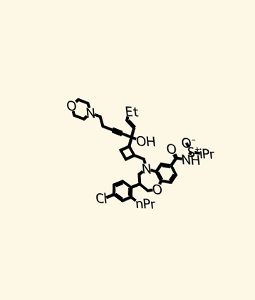 CC/C=C/C(O)(C#CCCN1CCOCC1)C1CCC1CN1CC(c2ccc(Cl)cc2CCC)COc2ccc(C(=O)N[S+]([O-])C(C)C)cc21